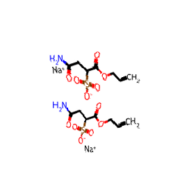 C=CCOC(=O)C(CC(N)=O)S(=O)(=O)[O-].C=CCOC(=O)C(CC(N)=O)S(=O)(=O)[O-].[Na+].[Na+]